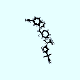 CC(C)(C#N)c1cc(N2C[C@@]3(CCC[C@](C)(Cn4cnc5ccc(C#N)cc54)C3)OC2=O)on1